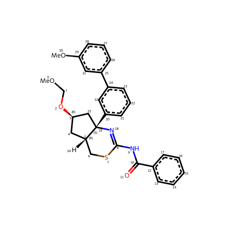 COCO[C@@H]1C[C@H]2CSC(NC(=O)c3ccccc3)=N[C@@]2(c2cccc(-c3cccc(OC)c3)c2)C1